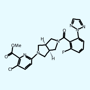 COC(=O)c1nc(N2C[C@H]3CN(C(=O)c4c(F)cccc4-n4nccn4)C[C@H]3C2)ccc1Cl